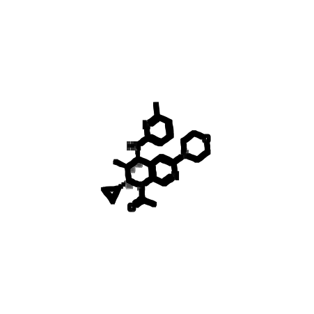 CC(=O)N1c2cnc(N3CCOCC3)cc2[C@@H](Nc2cccc(C)n2)[C@H](C)[C@H]1C1CC1